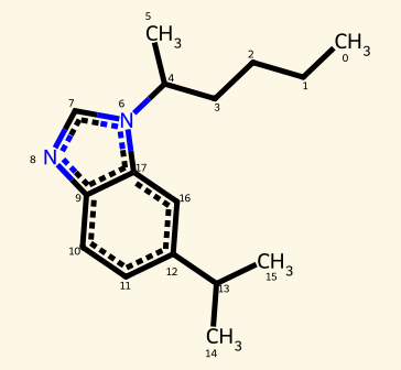 CCCCC(C)n1cnc2ccc(C(C)C)cc21